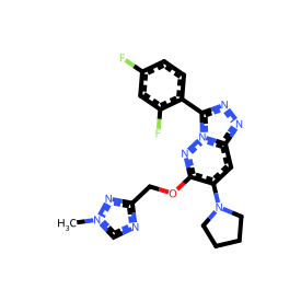 Cn1cnc(COc2nn3c(-c4ccc(F)cc4F)nnc3cc2N2CCCC2)n1